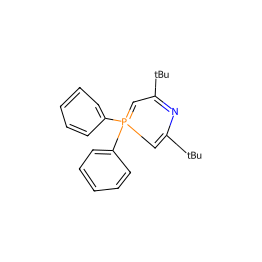 CC(C)(C)C1=CP(c2ccccc2)(c2ccccc2)=CC(C(C)(C)C)=N1